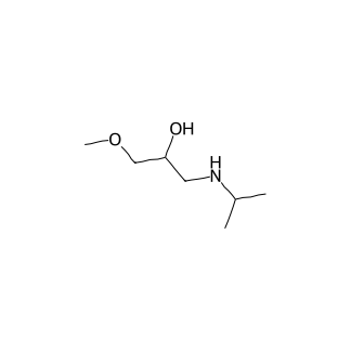 COCC(O)CNC(C)C